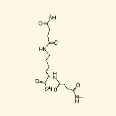 CNC(=O)CCC(=O)NCCCCC(NC(=O)CCC(=O)NC)C(=O)O